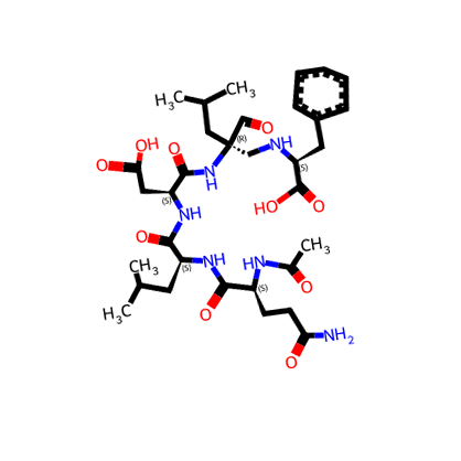 CC(=O)N[C@@H](CCC(N)=O)C(=O)N[C@@H](CC(C)C)C(=O)N[C@@H](CC(=O)O)C(=O)N[C@@](C=O)(CN[C@@H](Cc1ccccc1)C(=O)O)CC(C)C